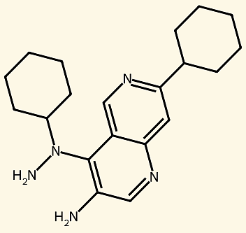 Nc1cnc2cc(C3CCCCC3)ncc2c1N(N)C1CCCCC1